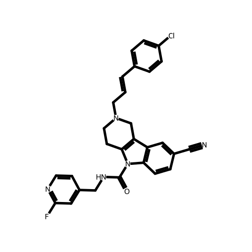 N#Cc1ccc2c(c1)c1c(n2C(=O)NCc2ccnc(F)c2)CCN(C/C=C/c2ccc(Cl)cc2)C1